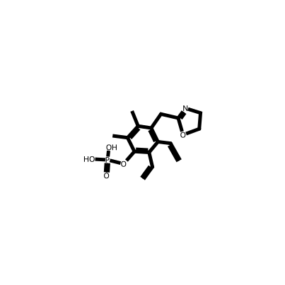 C=Cc1c(C=C)c(OP(=O)(O)O)c(C)c(C)c1CC1=NCCO1